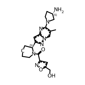 Cc1cn2nc([C@@H]3CCCCN3C(=O)c3cc(CO)on3)cc2nc1N1CC[C@H](N)C1